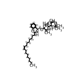 CCCCCCCC/C=C\CCCCCCCC(=O)N[C@H](COC(=O)C(C)NC(=O)C1OC(C)(C)OCC1(C)C)c1ccccc1